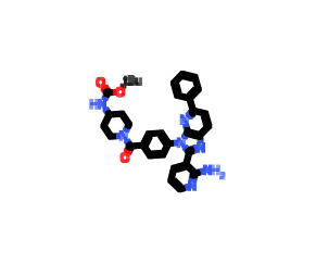 CC(C)(C)OC(=O)NC1CCN(C(=O)c2ccc(-n3c(-c4cccnc4N)nc4ccc(-c5ccccc5)nc43)cc2)CC1